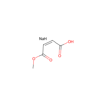 COC(=O)/C=C\C(=O)O.[NaH]